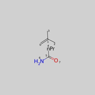 C=C(C)C.CCCC(N)=O